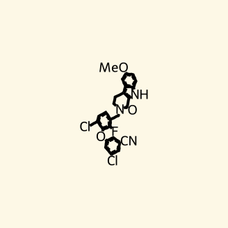 COc1ccc2[nH]c3c(c2c1)CCN(Cc1ccc(Cl)c(Oc2cc(Cl)cc(C#N)c2)c1F)C3=O